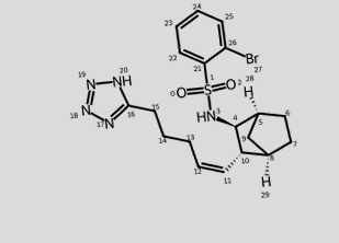 O=S(=O)(N[C@H]1[C@H]2CC[C@H](C2)[C@@H]1/C=C\CCCc1nnn[nH]1)c1ccccc1Br